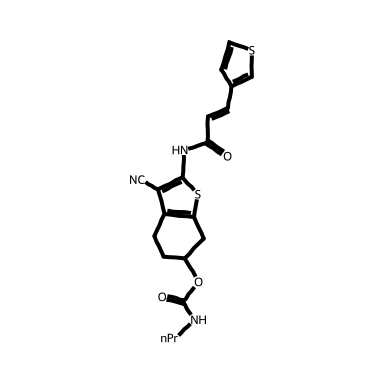 CCCNC(=O)OC1CCc2c(sc(NC(=O)C=Cc3ccsc3)c2C#N)C1